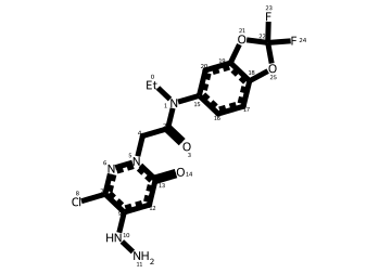 CCN(C(=O)Cn1nc(Cl)c(NN)cc1=O)c1ccc2c(c1)OC(F)(F)O2